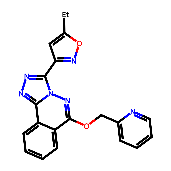 CCc1cc(-c2nnc3c4ccccc4c(OCc4ccccn4)nn23)no1